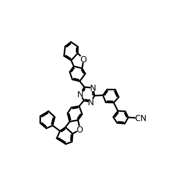 N#Cc1cccc(-c2cccc(-c3nc(-c4ccc5c(c4)oc4ccccc45)nc(-c4ccc5c(c4)oc4cccc(-c6ccccc6)c45)n3)c2)c1